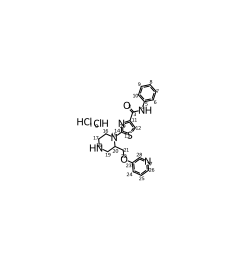 Cl.Cl.O=C(Nc1ccccc1)c1csc(N2CCNCC2COc2cccnc2)n1